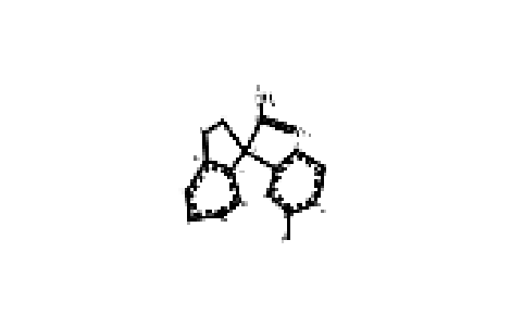 Cc1cc(C2(C(N)=O)CCc3ccccc32)ccn1